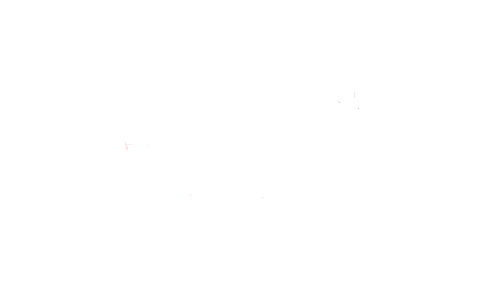 CCCCCC(=O)O.[Ce]